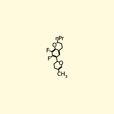 CCCC1CCc2cc(C3CCC(C)=CO3)c(F)c(F)c2O1